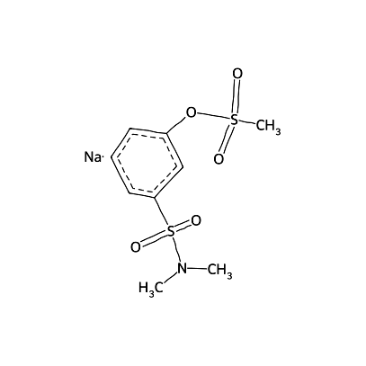 CN(C)S(=O)(=O)c1cccc(OS(C)(=O)=O)c1.[Na]